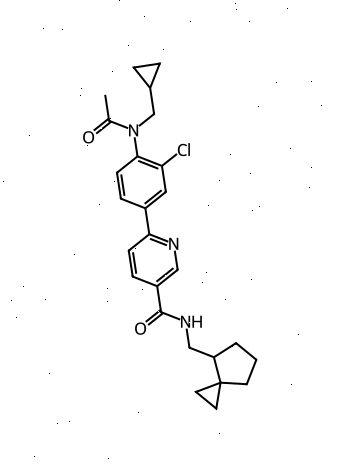 CC(=O)N(CC1CC1)c1ccc(-c2ccc(C(=O)NCC3CCCC34CC4)cn2)cc1Cl